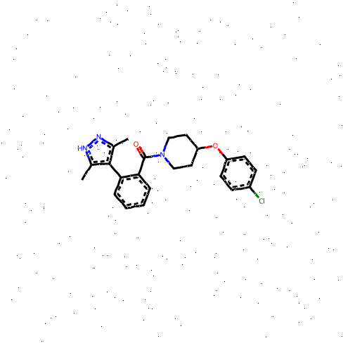 Cc1n[nH]c(C)c1-c1ccccc1C(=O)N1CCC(Oc2ccc(Cl)cc2)CC1